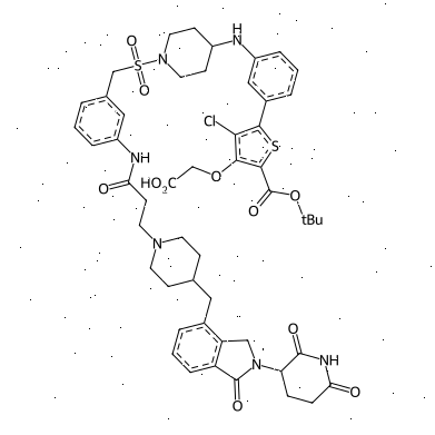 CC(C)(C)OC(=O)c1sc(-c2cccc(NC3CCN(S(=O)(=O)Cc4cccc(NC(=O)CCN5CCC(Cc6cccc7c6CN(C6CCC(=O)NC6=O)C7=O)CC5)c4)CC3)c2)c(Cl)c1OCC(=O)O